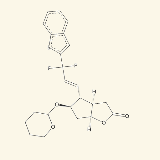 O=C1C[C@@H]2[C@@H](/C=C/C(F)(F)c3cc4ccccc4s3)[C@H](OC3CCCCO3)C[C@@H]2O1